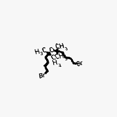 CC(C)(CCCCBr)OC(C)(C)CCCCBr